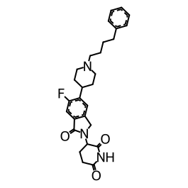 O=C1CCC(N2Cc3cc(C4CCN(CCCCc5ccccc5)CC4)c(F)cc3C2=O)C(=O)N1